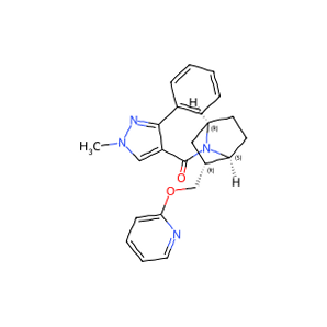 Cn1cc(C(=O)N2[C@@H]3CC[C@H]2[C@H](COc2ccccn2)C3)c(-c2ccccc2)n1